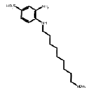 CCCCCCCCCCCCCCCCCCCNc1ccc(S(=O)(=O)O)cc1N